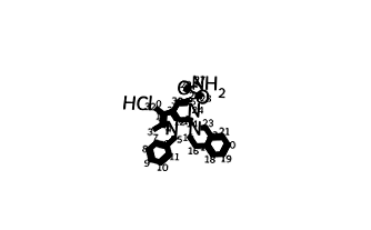 Cc1c(C)n(Cc2ccccc2)c2c(N3CCc4ccccc4C3)nc(S(N)(=O)=O)cc12.Cl